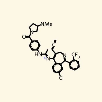 C=C=CC1=C(/N=C(\C)Nc2ccc(C(=O)N3CCC(NC)C3)cc2)c2ccc(Cl)cc2C(c2ccccc2C(F)(F)F)=NC1